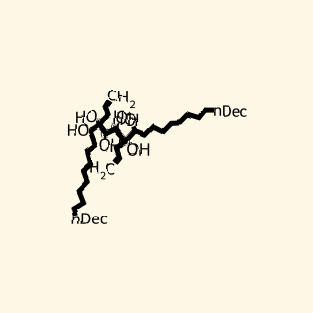 C=CC[C@@](O)(C(O)CCCCCCCCCCCCCCCCCC)[C@@H](O)[C@H](O)[C@@](O)(CC=C)C(O)CCCCCCCCCCCCCCCCCC